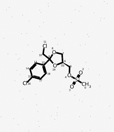 CS(=O)(=O)OC[C@@H]1COC(CCl)(c2ccc(Cl)cc2)O1